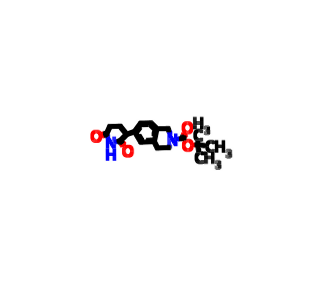 CC(C)(C)OC(=O)N1CCc2cc(C3CCC(=O)NC3=O)ccc2C1